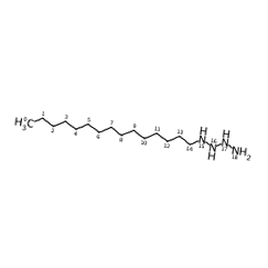 CCCCCCCCCCCCCCCNNNN